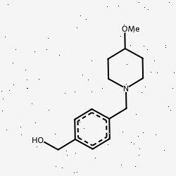 COC1CCN(Cc2ccc(CO)cc2)CC1